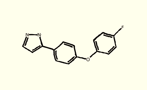 Fc1ccc(Oc2ccc(C3=CC=N[N]3)cc2)cc1